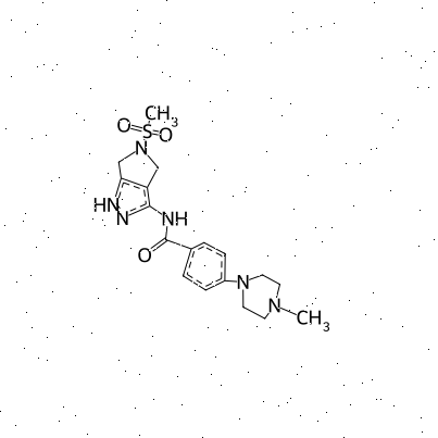 CN1CCN(c2ccc(C(=O)Nc3n[nH]c4c3CN(S(C)(=O)=O)C4)cc2)CC1